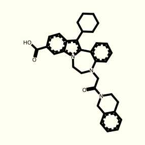 O=C(O)c1ccc2c(C3CCCCC3)c3n(c2c1)CCN(CC(=O)N1CCc2ccccc2C1)c1ccccc1-3